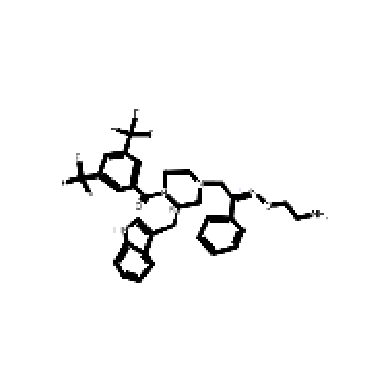 NCCO/N=C(/CN1CCN(C(=O)c2cc(C(F)(F)F)cc(C(F)(F)F)c2)[C@H](Cc2c[nH]c3ccccc23)C1)c1ccccc1